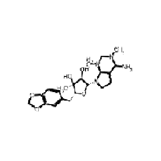 CN1CN(C)C2C(CCN2[C@@H]2O[C@H](Cc3ccc4c(c3)OCO4)[C@@](C)(O)[C@H]2O)C1N